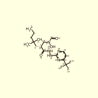 CCCC(C)(C)C[C@H](CN(O)C=O)C(=O)NNc1nccc(C(F)(F)F)n1